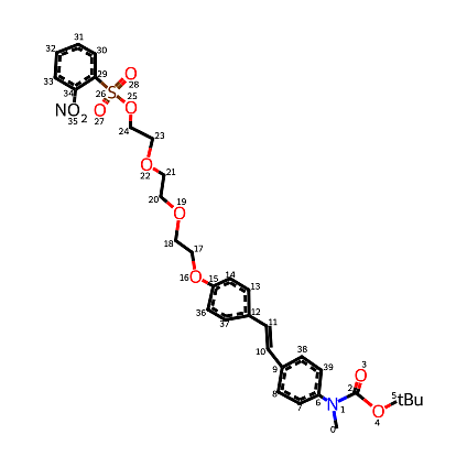 CN(C(=O)OC(C)(C)C)c1ccc(/C=C/c2ccc(OCCOCCOCCOS(=O)(=O)c3ccccc3[N+](=O)[O-])cc2)cc1